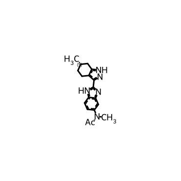 CC(=O)N(C)c1ccc2[nH]c(-c3n[nH]c4c3CC[C@H](C)C4)nc2c1